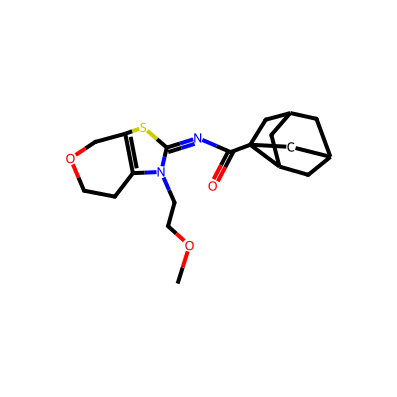 COCCn1c2c(sc1=NC(=O)C13CC4CC(CC1C4)C3)COCC2